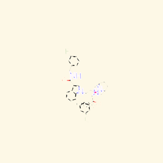 COc1cccc2c(C(=O)NCc3cccc(F)c3)cn(CCCN3C4CCC3CN(CC(=O)c3cccc(Cl)c3)C4)c12